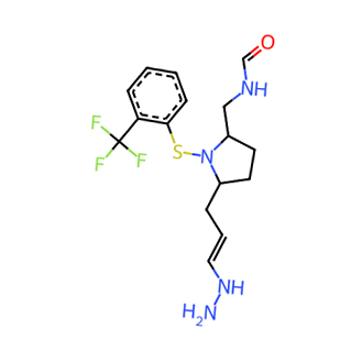 NN/C=C/CC1CCC(CNC=O)N1Sc1ccccc1C(F)(F)F